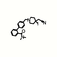 CN(C)C(=O)c1ccccc1-c1ccc(CN2CCC(I)(CC#N)CC2)cc1